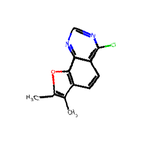 Cc1oc2c(ccc3c(Cl)ncnc32)c1C